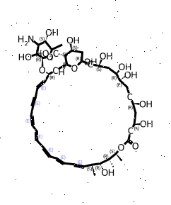 CC1O[C@@H](O[C@H]2/C=C/C=C/C=C/C=C/C=C/C=C/C=C/[C@H](C)[C@@H](O)[C@@H](C)[C@H](C)OC(=O)C[C@H](O)C[C@H](O)CC[C@@H](O)[C@H](O)C[C@H](O)C[C@]3(O)C[C@H](O)[C@@H](C(=O)O)[C@H](C2)O3)C(O)C(N)[C@@H]1O